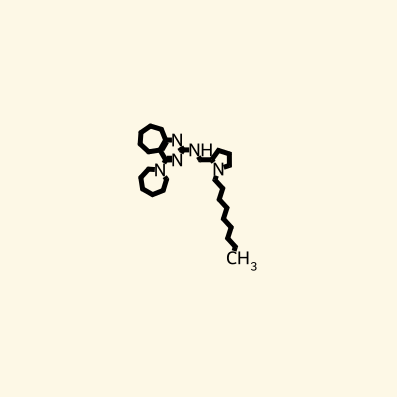 CCCCCCCCCN1CCCC1CNc1nc2c(c(N3CCCCCC3)n1)CCCCC2